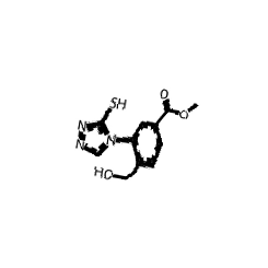 COC(=O)c1ccc(CO)c(-n2cnnc2S)c1